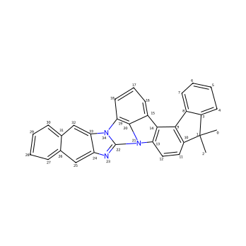 CC1(C)c2ccccc2-c2c1ccc1c2c2cccc3c2n1c1nc2cc4ccccc4cc2n31